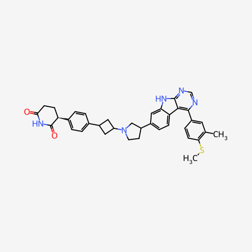 CSc1ccc(-c2ncnc3[nH]c4cc(C5CCN(C6CC(c7ccc([C@@H]8CCC(=O)NC8=O)cc7)C6)C5)ccc4c23)cc1C